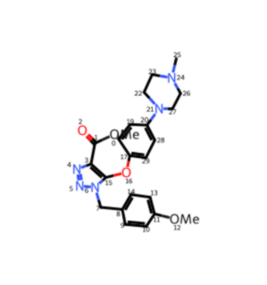 COC(=O)c1nnn(Cc2ccc(OC)cc2)c1Oc1ccc(N2CCN(C)CC2)cc1